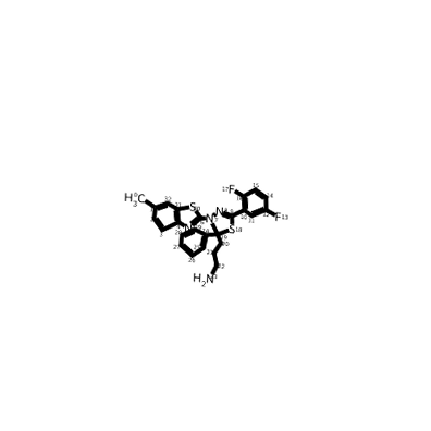 Cc1ccc2nc(N3N=C(c4cc(F)ccc4F)SC3(CCCN)c3ccccc3)sc2c1